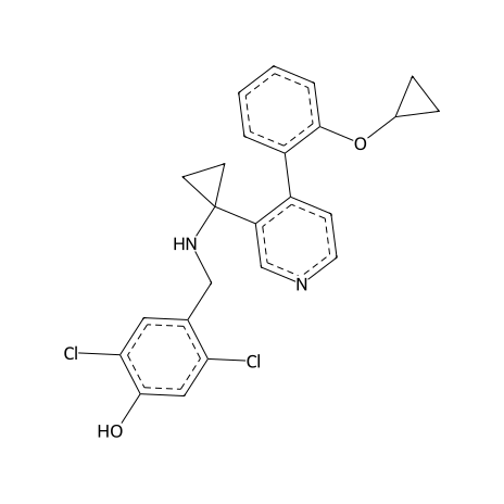 Oc1cc(Cl)c(CNC2(c3cnccc3-c3ccccc3OC3CC3)CC2)cc1Cl